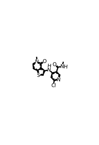 CNC(=O)c1cnc(Cl)cc1Nc1csc2ccn(C)c(=O)c12